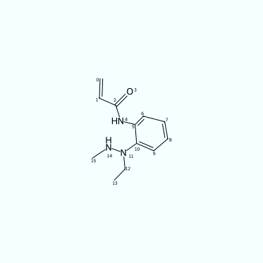 C=CC(=O)Nc1ccccc1N(CC)NC